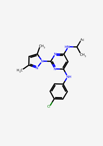 CC(=O)C(C)Nc1cc(Nc2ccc(Cl)cc2)nc(-n2nc(C)cc2C)n1